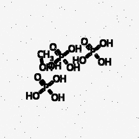 CO.O=P(O)(O)O.O=P(O)(O)O.O=P(O)(O)O